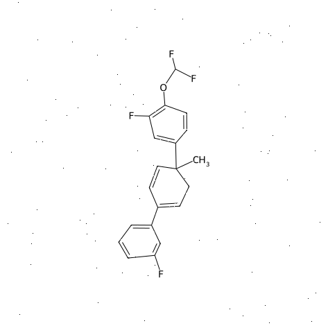 CC1(c2ccc(OC(F)F)c(F)c2)C=CC(c2cccc(F)c2)=CC1